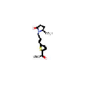 COC(=O)c1ccc(/C=C/CN2C(=O)CCC2C(=O)O)s1